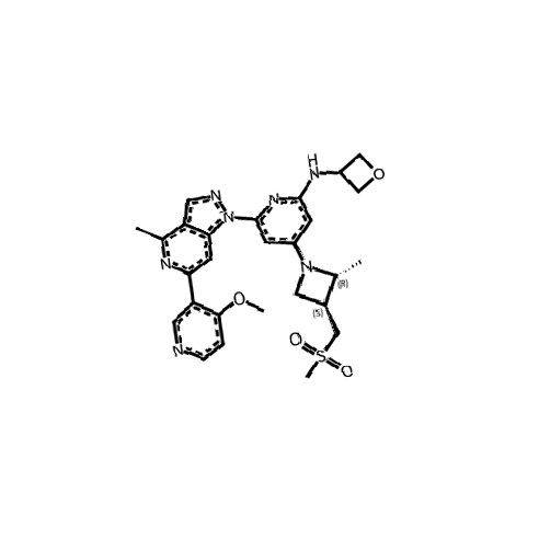 COc1ccncc1-c1cc2c(cnn2-c2cc(N3C[C@H](CS(C)(=O)=O)[C@H]3C)cc(NC3COC3)n2)c(C)n1